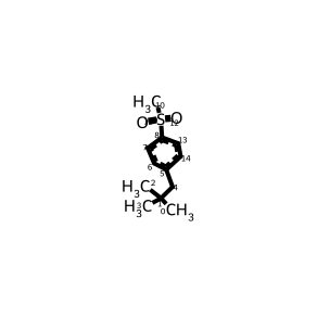 CC(C)(C)Cc1ccc(S(C)(=O)=O)cc1